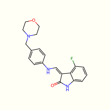 O=C1Nc2cccc(F)c2C1=CNc1ccc(CN2CCOCC2)cc1